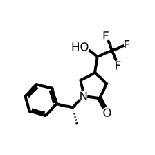 C[C@H](c1ccccc1)N1CC(C(O)C(F)(F)F)CC1=O